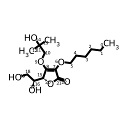 CCCCCCOC1=C(OCC(C)(C)O)[C@@H]([C@@H](O)CO)OC1=O